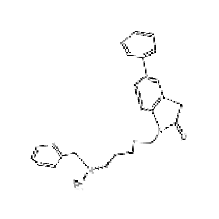 CCN(CCCCCN1C(=O)Cc2cc(-c3ccccc3)ccc21)Cc1ccccc1